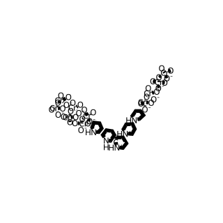 [O]=[Cr](=[O])([O-])[O][Cr](=[O])(=[O])[O-].[O]=[Cr](=[O])([O-])[O][Cr](=[O])(=[O])[O-].[O]=[Cr](=[O])([O-])[O][Cr](=[O])(=[O])[O-].[O]=[Cr](=[O])([O-])[O][Cr](=[O])(=[O])[O-].[O]=[Cr](=[O])([O-])[O][Cr](=[O])(=[O])[O-].c1cc[nH+]cc1.c1cc[nH+]cc1.c1cc[nH+]cc1.c1cc[nH+]cc1.c1cc[nH+]cc1